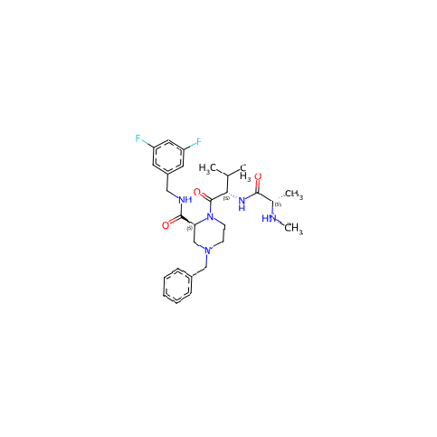 CN[C@@H](C)C(=O)N[C@H](C(=O)N1CCN(Cc2ccccc2)C[C@H]1C(=O)NCc1cc(F)cc(F)c1)C(C)C